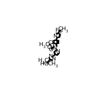 CC(C)(O)c1cnc(-c2ccnc(N(CC34CCC(c5ccc(C(C)(F)F)cn5)(CC3)C4)C(=O)OC(C)(C)C(F)(F)F)c2)nc1